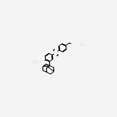 COc1ccc(S(=O)(=O)c2ccc(CC(=O)O)cc2)cc1C12CC3CC(CC(C3)C1)C2